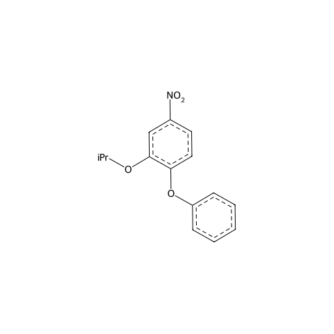 CC(C)Oc1cc([N+](=O)[O-])ccc1Oc1ccccc1